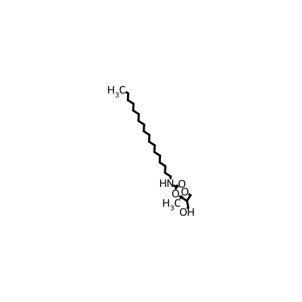 CCCCCCCCCCCCCCCCCCNC(=O)OC1(C)OCC1CO